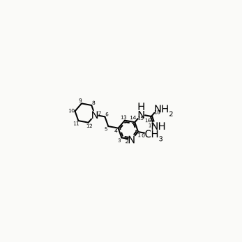 Cc1ncc(CCN2CCCCC2)cc1NC(=N)N